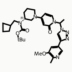 COc1cc(-c2cn(C(C)n3ccc(N4CCC[C@@H](N(CC5CCC5)C(=O)OC(C)(C)C)C4)cc3=O)nn2)cnc1C